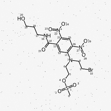 CS(=O)(=O)OCCN(CCBr)c1cc(C(=O)NCCCO)c([N+](=O)[O-])cc1[N+](=O)[O-]